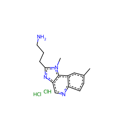 Cc1ccc2ncc3nc(CCCN)n(C)c3c2c1.Cl.Cl